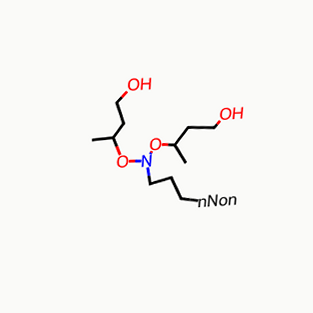 CCCCCCCCCCCCN(OC(C)CCO)OC(C)CCO